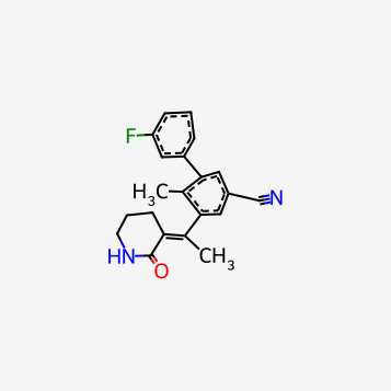 C/C(=C1/CCCNC1=O)c1cc(C#N)cc(-c2cccc(F)c2)c1C